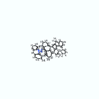 CC1(C)c2ccccc2-c2c1ccc1c(-c3c4ccccc4c(N4c5ccccc5Cc5ccccc54)c4ccccc34)cc3c(c21)-c1ccccc1C3(C)C